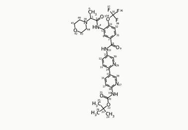 CC(C(=O)Nc1cc(C(=O)Nc2ccc(-c3ccc(NC(=O)OC(C)(C)C)nc3)nc2)ccc1OC(F)(F)F)N1CCOCC1